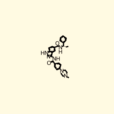 CC[C@H](NC(=O)c1ccc2[nH]nc(NC(=O)c3ccc(N4CCN(C)CC4)cc3)c2c1)c1ccccc1